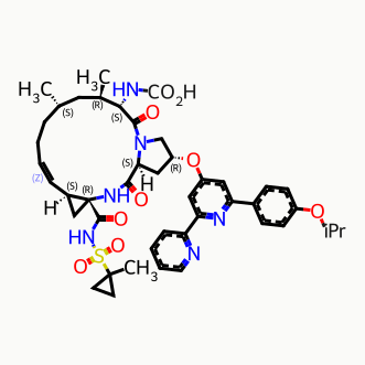 CC(C)Oc1ccc(-c2cc(O[C@@H]3C[C@H]4C(=O)N[C@]5(C(=O)NS(=O)(=O)C6(C)CC6)C[C@H]5/C=C\CC[C@H](C)C[C@@H](C)[C@H](NC(=O)O)C(=O)N4C3)cc(-c3ccccn3)n2)cc1